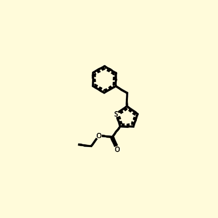 CCOC(=O)c1ccc(Cc2ccccc2)s1